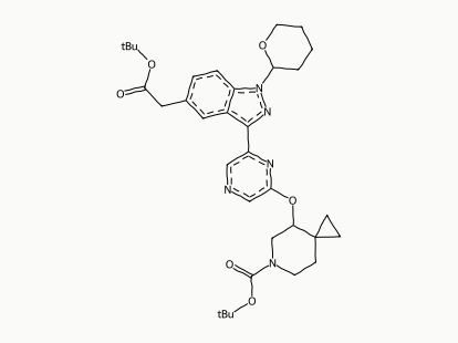 CC(C)(C)OC(=O)Cc1ccc2c(c1)c(-c1cncc(OC3CN(C(=O)OC(C)(C)C)CCC34CC4)n1)nn2C1CCCCO1